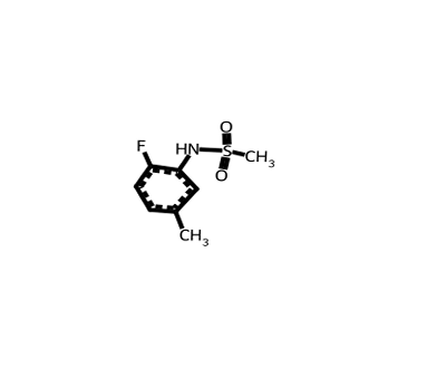 Cc1ccc(F)c(NS(C)(=O)=O)c1